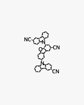 N#Cc1cc(-n2c3ccccc3c3cc(C#N)ccc32)c2oc3ccc(-n4c5ccccc5c5cc(C#N)ccc54)cc3c2c1